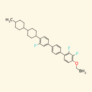 BCOc1ccc(-c2ccc(-c3ccc(C4CCC(C5CCC(C)CC5)CC4)c(F)c3)cc2)c(F)c1F